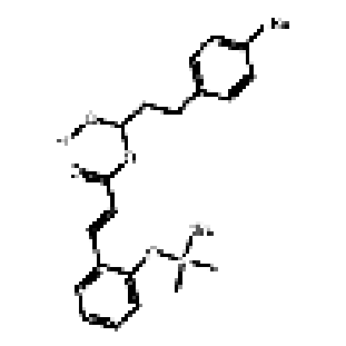 CCOC(CCc1ccc(C(C)(C)C)cc1)OC(=O)/C=C/c1ccccc1O[Si](C)(C)C(C)(C)C